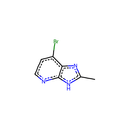 Cc1nc2c(Br)ccnc2[nH]1